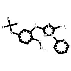 COc1ccc(OC(F)(F)F)cc1Nc1nc(N)n(-c2ccccn2)n1